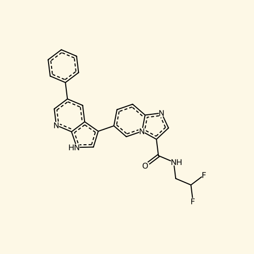 O=C(NCC(F)F)c1cnc2ccc(-c3c[nH]c4ncc(-c5ccccc5)cc34)cn12